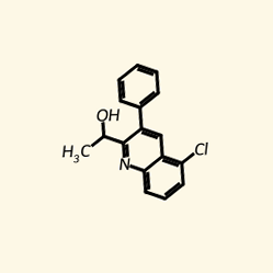 CC(O)c1nc2cccc(Cl)c2cc1-c1ccccc1